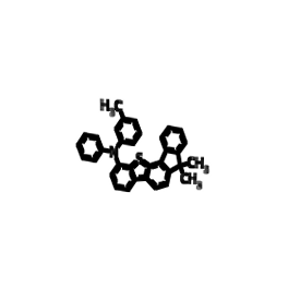 Cc1cccc(N(c2ccccc2)c2cccc3c2sc2c4c(ccc23)C(C)(C)c2ccccc2-4)c1